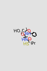 CC(C)[C@H](S)C(=O)NC(C)(C)C(=O)N[C@H](C(=O)O)[C@@H](C)OCc1ccccc1